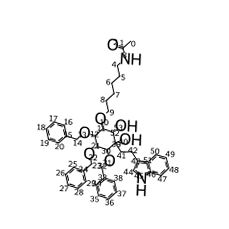 CC(=O)NCCCCCCOC1C(OCc2ccccc2)C(OCc2ccccc2)C(OCc2ccccc2)C(O)(CCc2c[nH]c3ccccc23)C1O